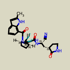 Cc1cc2cccc(C(=O)N3[C@@H]4CC[C@H]([C@@H]3C(=O)N[C@H](C#N)C[C@@H]3CCNC3=O)C(F)(F)C4)c2[nH]1